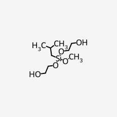 CO[Si](CC(C)C)(OCCO)OCCO